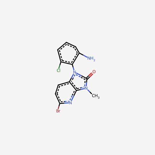 Cn1c(=O)n(-c2c(N)cccc2Cl)c2ccc(Br)nc21